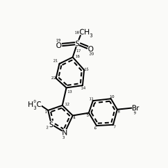 Cc1snc(-c2ccc(Br)cc2)c1-c1ccc(S(C)(=O)=O)cc1